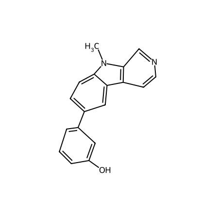 Cn1c2ccc(-c3cccc(O)c3)cc2c2ccncc21